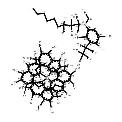 CCCCCCC(F)(F)C(F)(F)C(F)(F)[NH+](CF)c1cc(F)c(F)c(C(F)(F)C(F)(F)F)c1F.CCc1c(F)c(F)c(F)c2c(F)c(F)c(F)c([B-](c3c(F)c(F)c(F)c4c(F)c(F)c(F)c(CC)c34)(c3c(F)c(F)c(F)c4c(F)c(F)c(F)c(CC)c34)c3c(F)c(F)c(F)c4c(F)c(F)c(F)c(CC)c34)c12